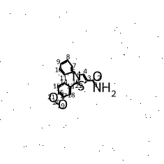 NC(=O)C1=CN(c2ccccc2)C(c2ccc3c(c2)OCO3)S1